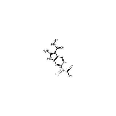 CCNC(=O)c1c(N)[nH]c2cc(N(C)C(=O)C(C)C)ccc12